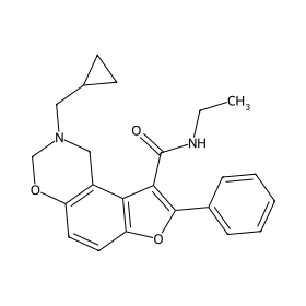 CCNC(=O)c1c(-c2ccccc2)oc2ccc3c(c12)CN(CC1CC1)CO3